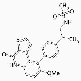 COc1ccc2[nH]c(=O)c3sccc3c2c1-c1ccc(C(C)CNS(C)(=O)=O)cc1